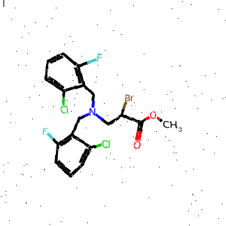 COC(=O)C(Br)CN(Cc1c(F)cccc1Cl)Cc1c(F)cccc1Cl